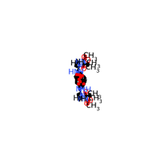 COC(=O)N[C@H](C(=O)N1[C@@H]2C[C@@H]2C[C@H]1c1nc2cc(-c3cc4ccc3CCc3ccc(c(-c5ccc6[nH]c([C@@H]7C[C@H]8C[C@H]8N7C(=O)[C@@H](NC(=O)OC)C(C)C)nc6c5)c3)CC4)ccc2[nH]1)C(C)C